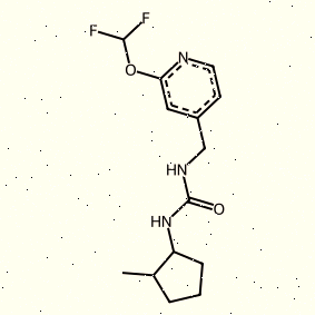 CC1CCCC1NC(=O)NCc1ccnc(OC(F)F)c1